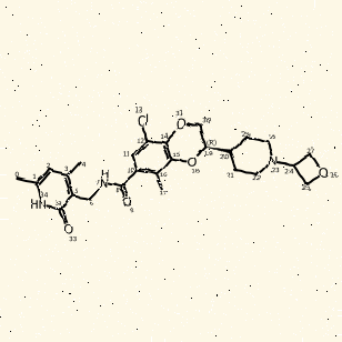 Cc1cc(C)c(CNC(=O)c2cc(Cl)c3c(c2C)O[C@H](C2CCN(C4COC4)CC2)CO3)c(=O)[nH]1